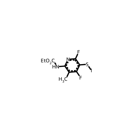 CCOC(=O)Nc1nc(F)c(SI)c(F)c1C